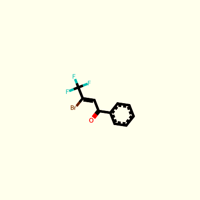 O=C(C=C(Br)C(F)(F)F)c1ccccc1